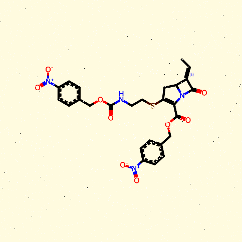 C/C=C1/C(=O)N2C(C(=O)OCc3ccc([N+](=O)[O-])cc3)=C(SCCNC(=O)OCc3ccc([N+](=O)[O-])cc3)CC12